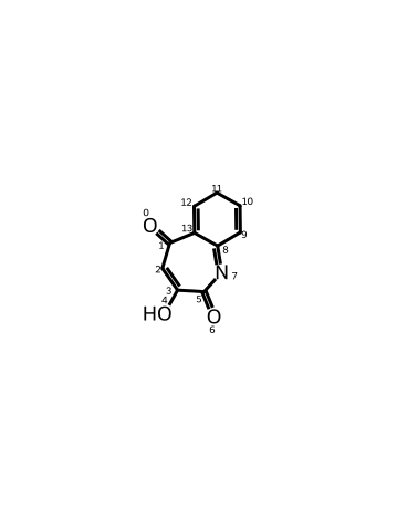 O=C1C=C(O)C(=O)N=C2C=CCC=C12